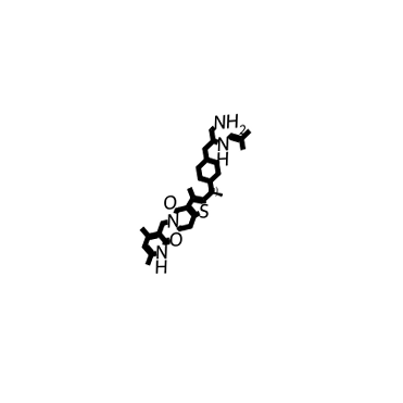 CC(C)=CNC(CN)CC1CCC([C@@H](C)c2sc3c(c2C)C(=O)N(Cc2c(C)cc(C)[nH]c2=O)CC3)CC1